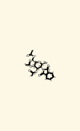 CC(=O)OC[C@H]1O[C@@H](Br)[C@H](N2C(=O)c3ccccc3C2=O)[C@@H](OC(C)=O)[C@H]1OC(C)=O